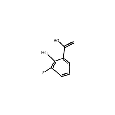 C=C(O)c1cccc(F)c1O